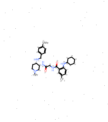 CCCN1CC[C@H](NCc2ccc(SC)cc2)[C@H](NC(=O)CNC(=O)c2cc(C(F)(F)F)ccc2NC2CCCCC2)C1